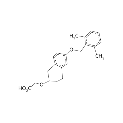 Cc1cccc(C)c1COc1ccc2c(c1)CCC(OCC(=O)O)C2